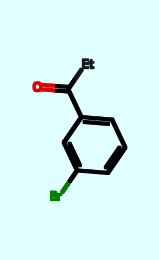 [CH2]CC(=O)c1cccc(Br)c1